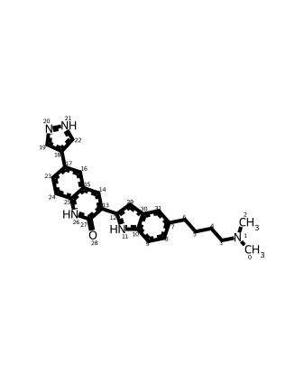 CN(C)CCCCc1ccc2[nH]c(-c3cc4cc(-c5cn[nH]c5)ccc4[nH]c3=O)cc2c1